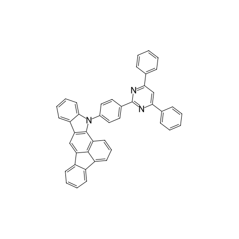 c1ccc(-c2cc(-c3ccccc3)nc(-c3ccc(-n4c5ccccc5c5cc6c7c(cccc7c54)-c4ccccc4-6)cc3)n2)cc1